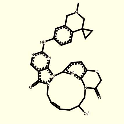 CN1Cc2cc(Nc3ncc4c(=O)n5n(c4n3)-c3ccc4c(n3)N(CC(O)C/C=C\C5)C(=O)CO4)ccc2C2(CC2)C1